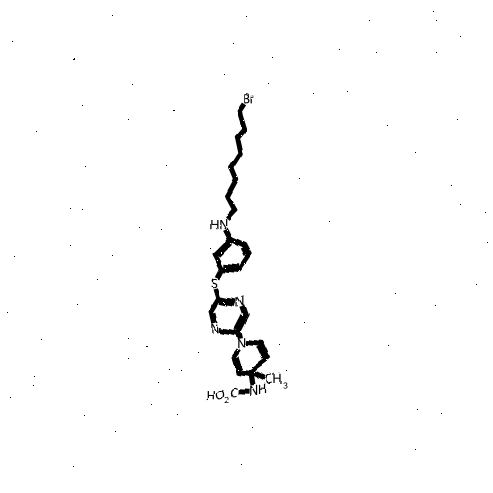 CC1(NC(=O)O)C=CN(c2cnc(Sc3cccc(NCCCCCCCCBr)c3)cn2)C=C1